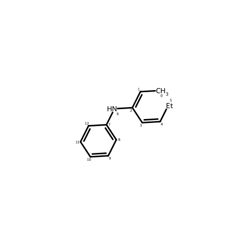 C/C=C(\C=C/CC)Nc1ccccc1